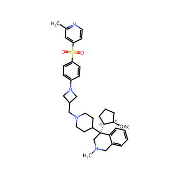 CC(=O)O[C@@H]1CCC[C@H]1C1(C2CCN(CC3CN(c4ccc(S(=O)(=O)c5ccnc(C)c5)cc4)C3)CC2)CN(C)Cc2ccccc21